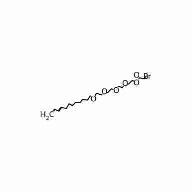 C=CC=CCCCCCCCCOCCOCCOCCOCCOC(=O)CBr